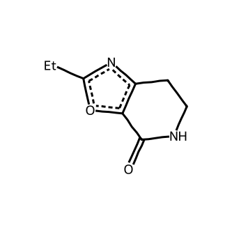 CCc1nc2c(o1)C(=O)NCC2